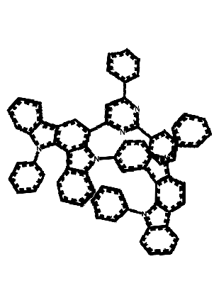 c1ccc(-c2cc(-c3cc4c5ccccc5n(-c5ccccc5)c4c4c5ccccc5n(-c5ccc6c(c5)c5c(ccc7c8ccccc8n(-c8ccccc8)c75)n6-c5ccccc5)c34)nc(-c3ccccc3)n2)cc1